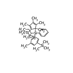 CCC(C)[Si](c1ccccc1)(c1cc(C)cc([Si](C)(C)C)c1)C1(C)C(C)=C(C)C(C)=[C]1[Ti]([CH3])[CH3]